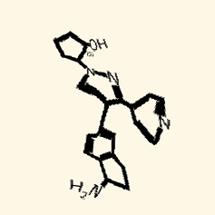 NC1CCc2cc(-c3cn(C4CCC[C@@H]4O)nc3-c3ccncc3)ccc21